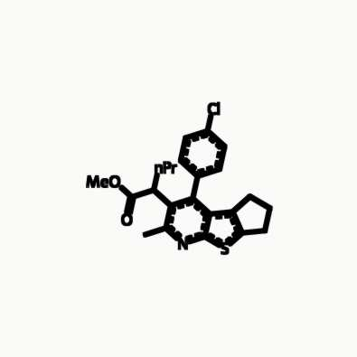 CCCC(C(=O)OC)c1c(C)nc2sc3c(c2c1-c1ccc(Cl)cc1)CCC3